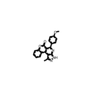 COc1ccc(-c2nc3[nH]nc(C)c3c3c2c(=O)oc2ccccc23)cc1